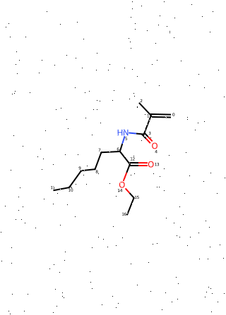 C=C(C)C(=O)NC(CCCCC)C(=O)OCC